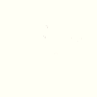 CCOC(=O)c1cnn(-c2cccc3ccccc23)c1O